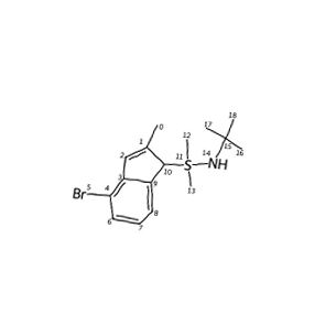 CC1=Cc2c(Br)cccc2C1S(C)(C)NC(C)(C)C